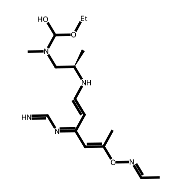 C/C=N/O/C(C)=C/C(/C=C/N[C@H](C)CN(C)C(O)OCC)=N/C=N